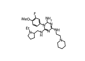 CCN1CCCC1CNC1=NC(NCCN2CCCCC2)=NC(N)N1c1ccc(OC)c(F)c1